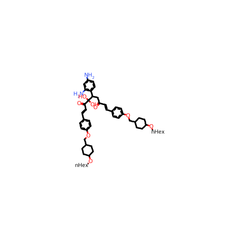 CCCCCCOC1CCC(COc2ccc(C=CC(=O)CC(c3ccc(N)cc3N)C(O)(O)C(=O)C=Cc3ccc(OCC4CCC(OCCCCCC)CC4)cc3)cc2)CC1